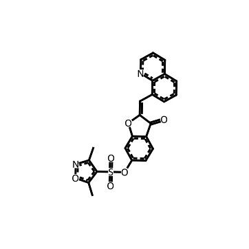 Cc1noc(C)c1S(=O)(=O)Oc1ccc2c(c1)OC(=Cc1cccc3cccnc13)C2=O